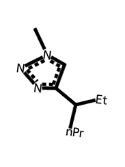 CCCC(CC)c1cn(C)nn1